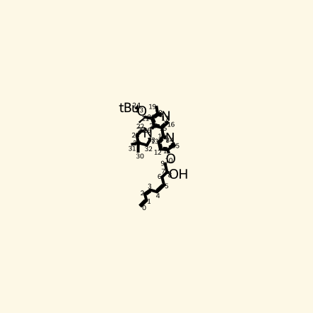 C=C/C=C\C=C/CC(O)COc1ccc(-c2cnc(C)c([C@@H](C)OC(C)(C)C)c2N2CCC(C)(C)CC2)nc1